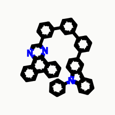 c1ccc(-n2c3ccccc3c3cc(-c4cccc(-c5cccc(-c6cccc(-c7cnc8c9ccccc9c9ccccc9c8n7)c6)c5)c4)ccc32)cc1